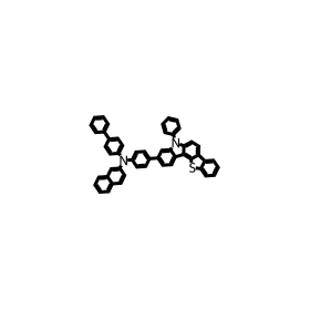 c1ccc(-c2ccc(N(c3ccc(-c4ccc5c6c7sc8ccccc8c7ccc6n(-c6ccccc6)c5c4)cc3)c3ccc4ccccc4c3)cc2)cc1